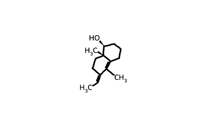 CC=C1CC[C@@]2(C)C(=C1C)CCC[C@@H]2O